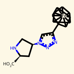 O=C(O)[C@@H]1C[C@H](n2cc([C]34[CH]5[CH]6[CH]7[CH]3[Fe]6754389%10[CH]4[CH]3[CH]8[CH]9[CH]4%10)nn2)CN1